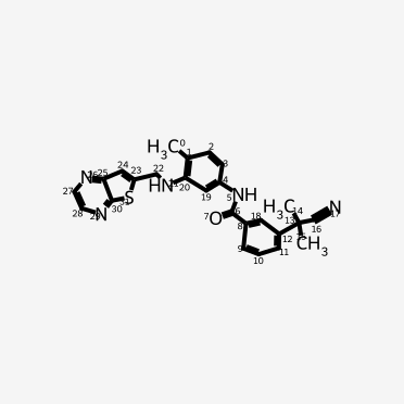 Cc1ccc(NC(=O)c2cccc(C(C)(C)C#N)c2)cc1NCc1cc2nccnc2s1